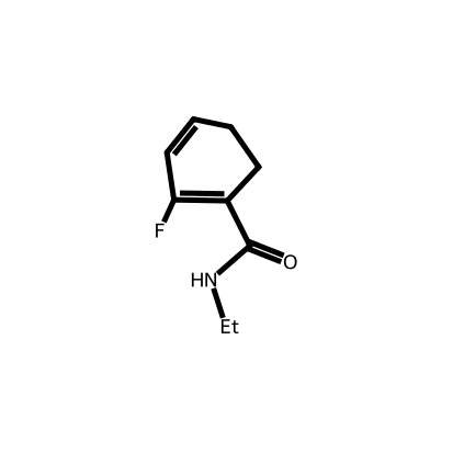 CCNC(=O)C1=C(F)C=CCC1